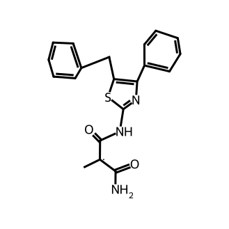 C[C](C(N)=O)C(=O)Nc1nc(-c2ccccc2)c(Cc2ccccc2)s1